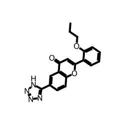 CCCOc1ccccc1-c1cc(=O)c2cc(-c3nnn[nH]3)ccc2o1